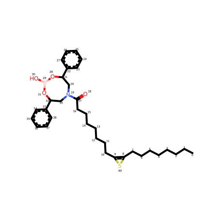 CCCCCCCCC1=C(CCCCCCCC(=O)N2CC(c3ccccc3)OB(O)OC(c3ccccc3)C2)S1